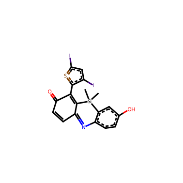 C[Si]1(C)C2=C(c3sc(I)cc3I)C(=O)C=CC2=Nc2ccc(O)cc21